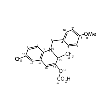 COc1ccc(CN2c3ccc(Cl)cc3C=C(OC(=O)O)C2C(F)(F)F)cc1